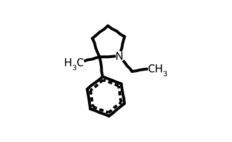 CCN1CCCC1(C)c1ccccc1